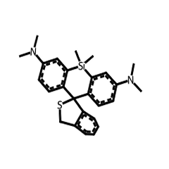 CN(C)c1ccc2c(c1)[Si](C)(C)c1cc(N(C)C)ccc1C21SCc2ccccc21